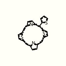 C1=Cc2cc3ccc(s3)c(-c3cccs3)c3nc(cc4ccc(cc1n2)s4)C=C3